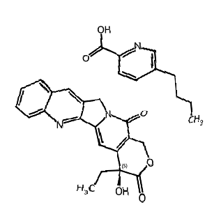 CCCCc1ccc(C(=O)O)nc1.CC[C@@]1(O)C(=O)OCc2c1cc1n(c2=O)Cc2cc3ccccc3nc2-1